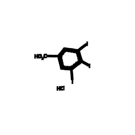 Cl.O=C(O)c1cc(I)c(I)c(I)c1